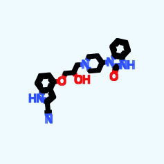 N#Cc1cc2c(OCC(O)CN3CCC(n4c(=O)[nH]c5ccccc54)CC3)cccc2[nH]1